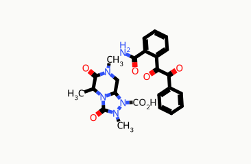 CC1C(=O)N(C)CC2N1C(=O)N(C)N2C(=O)O.NC(=O)c1ccccc1C(=O)C(=O)c1ccccc1